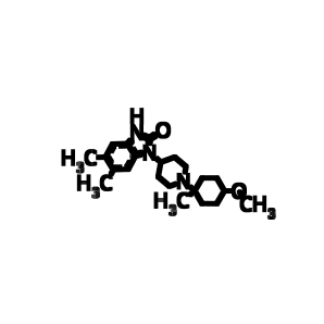 COC1CCC(C)(N2CCC(n3c(=O)[nH]c4cc(C)c(C)cc43)CC2)CC1